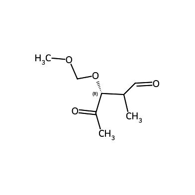 COCO[C@@H](C(C)=O)C(C)C=O